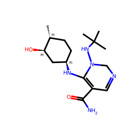 C[C@@H]1CC[C@@H](NC2=C(C(N)=O)C=NCN2NC(C)(C)C)C[C@H]1O